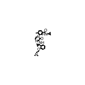 Cc1ccc(C(=O)NC2CC2)cc1-n1ccnc(NC2(c3ccccc3OCCN(C)C)CC2)c1=O